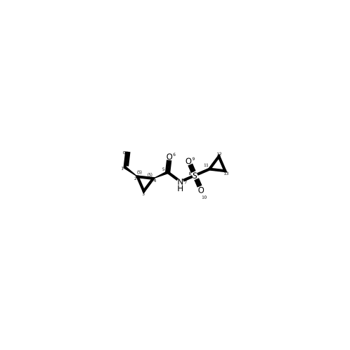 C=C[C@@H]1C[C@@H]1C(=O)NS(=O)(=O)C1CC1